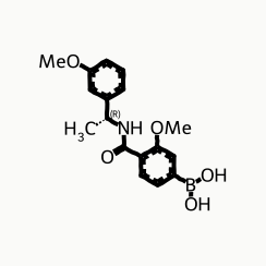 COc1cccc([C@@H](C)NC(=O)c2ccc(B(O)O)cc2OC)c1